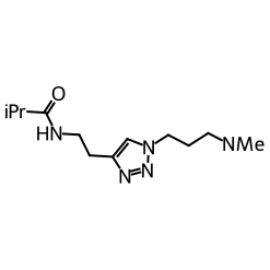 CNCCCn1cc(CCNC(=O)C(C)C)nn1